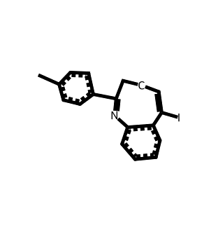 Cc1ccc(/C2=N/c3ccccc3/C(I)=C\CC2)cc1